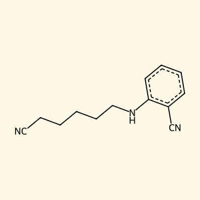 N#CCCCCCNc1ccccc1C#N